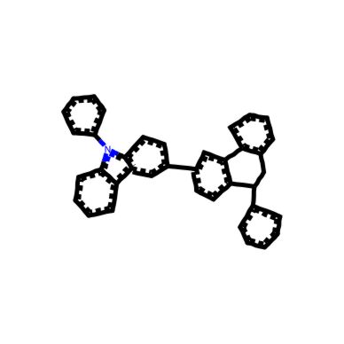 c1ccc(C2Cc3ccccc3-c3cc(-c4ccc5c(c4)c4ccccc4n5-c4ccccc4)ccc32)cc1